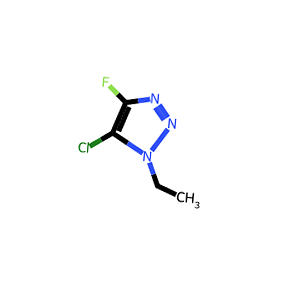 CCn1nnc(F)c1Cl